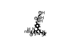 CCCC[S+]([O-])C1=C(N)C2C(=NC(c3nccs3)=CC2c2ccc(CNC(=O)NCCO)cc2)S1